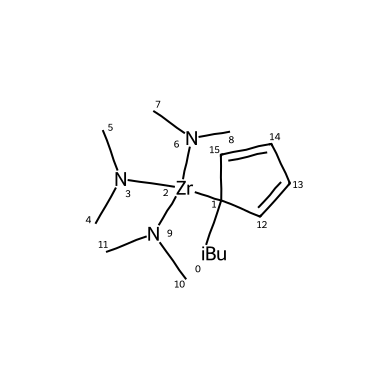 CCC(C)[C]1([Zr]([N](C)C)([N](C)C)[N](C)C)C=CC=C1